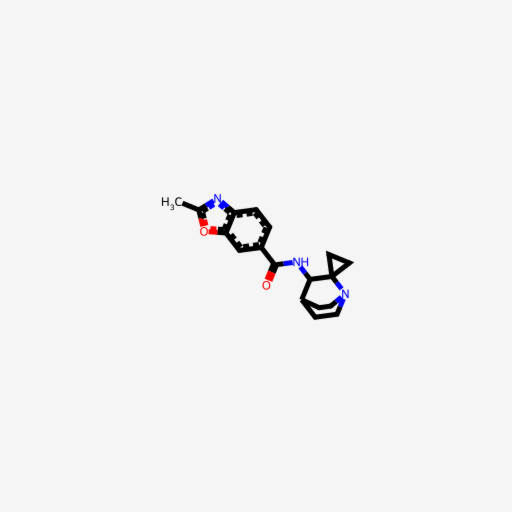 Cc1nc2ccc(C(=O)NC3C4CCN(CC4)C34CC4)cc2o1